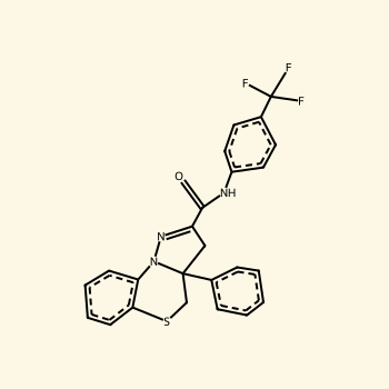 O=C(Nc1ccc(C(F)(F)F)cc1)C1=NN2c3ccccc3SCC2(c2ccccc2)C1